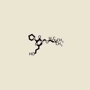 C[Si](C)(C)CCOCn1cc(CCCO)nc(N2CCCCC2)c1=O